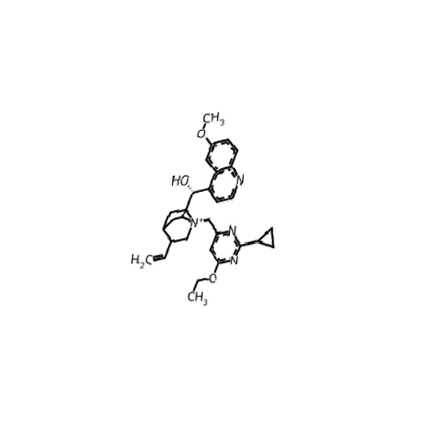 C=CC1C[N+]2(Cc3cc(OCC)nc(C4CC4)n3)CCC1CC2[C@H](O)c1ccnc2ccc(OC)cc12